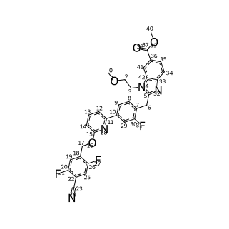 COCCn1c(Cc2ccc(-c3cccc(OCc4cc(F)c(C#N)cc4F)n3)cc2F)nc2ccc(C(=O)OC)cc21